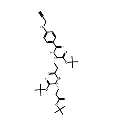 C#CCNc1ccc(C(=O)N[C@@H](CCC(=O)N[C@H](CCC(=O)OC(C)(C)C)C(=O)OC(C)(C)C)C(=O)OC(C)(C)C)cc1